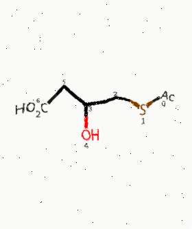 CC(=O)SCC(O)CC(=O)O